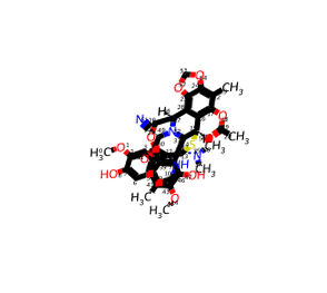 COc1cc2c(cc1O)CCN[C@]21CS[C@@H]2c3c(OC(C)=O)c(C)c4c(c3[C@H](COC1=O)N1C2[C@@H](N(C)C)c2c(cc(C)c(OC)c2O)C[C@@H]1C#N)OCO4